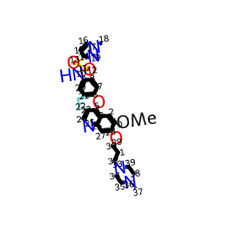 COc1cc2c(Oc3ccc(NS(=O)(=O)c4ccn(C)n4)cc3F)ccnc2cc1OCCCN1CCN(C)CC1